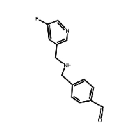 O=Cc1ccc(CNCc2cncc(F)c2)cc1